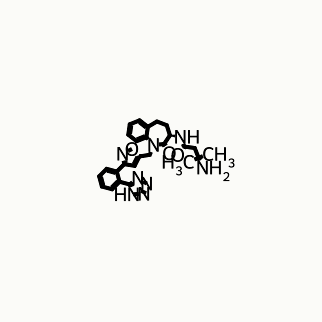 CC(C)(N)CC(=O)N[C@@H]1CCc2ccccc2N(Cc2cc(-c3ccccc3-c3nnn[nH]3)no2)C1=O